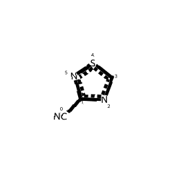 N#Cc1n[c]sn1